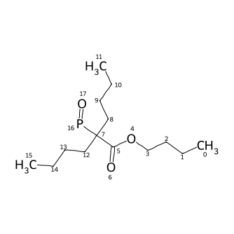 CCCCOC(=O)C(CCCC)(CCCC)P=O